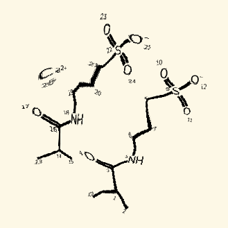 CC(C)C(=O)NCCCS(=O)(=O)[O-].CC(C)C(=O)NCCCS(=O)(=O)[O-].[Ca+2]